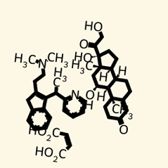 CC(C1=C(CCN(C)C)Cc2ccccc21)c1ccccn1.C[C@]12CCC(=O)C=C1CC[C@@H]1[C@@H]2[C@@H](O)C[C@@]2(C)[C@H]1CC[C@]2(O)C(=O)CO.O=C(O)/C=C\C(=O)O